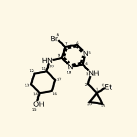 CCC1(CNc2ncc(Br)c(NC3CCC(O)CC3)n2)CC1